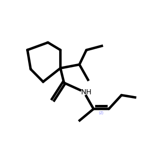 C=C(N/C(C)=C\CC)C1(C(C)CC)CCCCC1